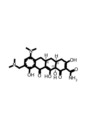 CN(C)Cc1cc(N(C)C)c2c(c1O)C(=O)C1=C(O)[C@]3(O)C(=O)C(C(N)=O)=C(O)C[C@@H]3C[C@@H]1C2